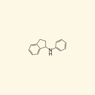 c1ccc(NC2CCc3ccccc32)cc1